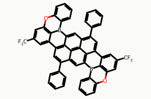 FC(F)(F)c1cc2c3c(c1)-c1cc(-c4ccccc4)c4cc5c6c(cc(-c7ccccc7)c7cc(c1c4c76)B3c1ccccc1O2)-c1cc(C(F)(F)F)cc2c1B5c1ccccc1O2